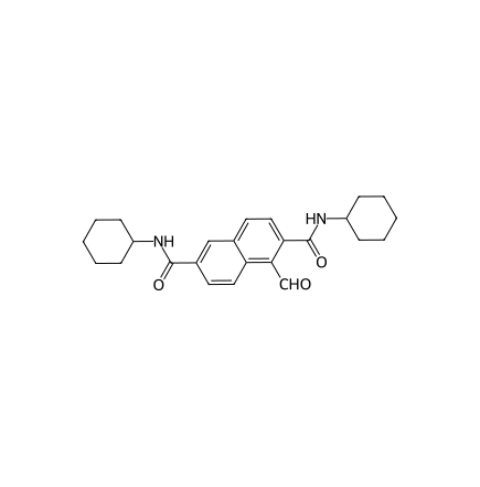 O=Cc1c(C(=O)NC2CCCCC2)ccc2cc(C(=O)NC3CCCCC3)ccc12